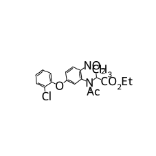 CCOC(=O)C(C)N(C(C)=O)c1cc(Oc2ccccc2Cl)ccc1[N+](=O)[O-]